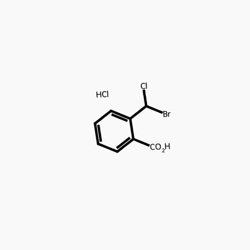 Cl.O=C(O)c1ccccc1C(Cl)Br